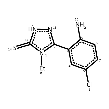 CCn1c(-c2cc(Cl)ccc2N)n[nH]c1=S